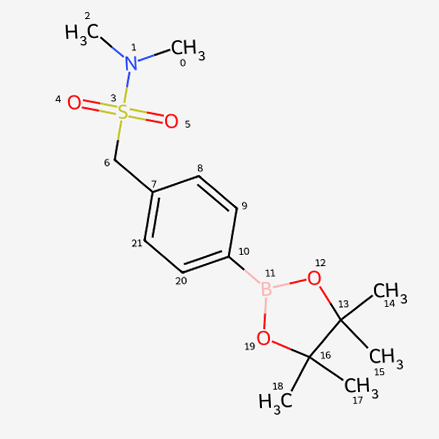 CN(C)S(=O)(=O)Cc1ccc(B2OC(C)(C)C(C)(C)O2)cc1